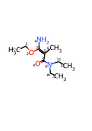 CCOC(N)=C(C)C(=O)N(CC)CC